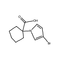 O=C(O)C1(n2ccc(Br)c2)CCCCC1